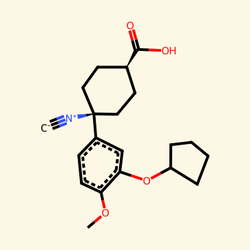 [C-]#[N+][C@]1(c2ccc(OC)c(OC3CCCC3)c2)CC[C@H](C(=O)O)CC1